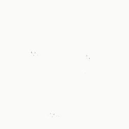 COc1cccc(C#Cc2cc(C(=O)N3Cc4ccccc4C3)ccc2OC)c1